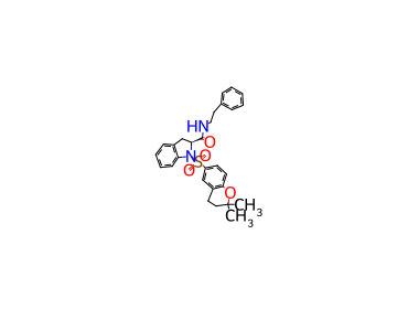 CC1(C)CCc2cc(S(=O)(=O)N3c4ccccc4C[C@H]3C(=O)NCCc3ccccc3)ccc2O1